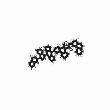 c1ccc2cc(-c3ccc(-c4c5ccccc5c(-c5ccc6c(c5)c5ccccc5c5c6ccc6c7ccc8ccc9ccccc9c8c7sc65)c5ccccc45)c4ccccc34)ccc2c1